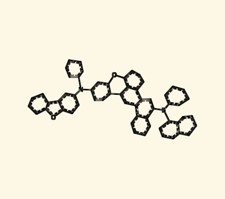 c1ccc(B(c2cccc3ccccc23)c2cc3c4cccc5c4c(cc3c3ccccc23)-c2ccc(N(c3ccccc3)c3ccc4oc6ccccc6c4c3)cc2O5)cc1